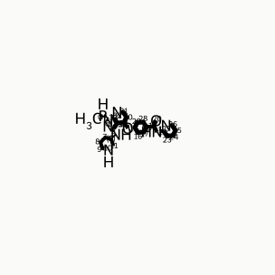 CPn1nc(N[C@@H]2CCCNC2)c2c(Oc3ccc(C(=O)Nc4ccccn4)cc3)ccnc21